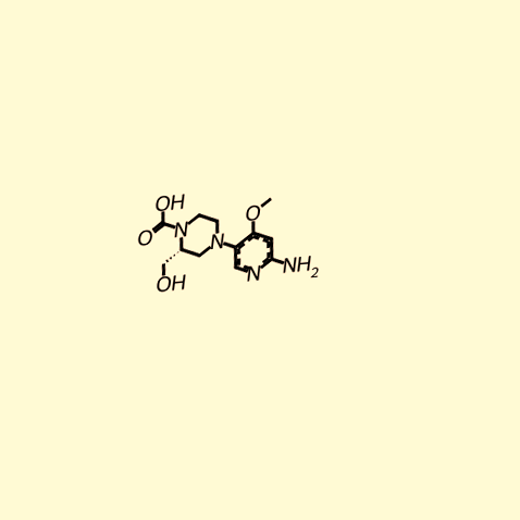 COc1cc(N)ncc1N1CCN(C(=O)O)[C@@H](CO)C1